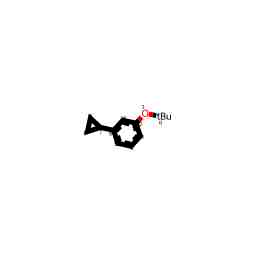 CC(C)(C)Oc1c[c]cc(C2CC2)c1